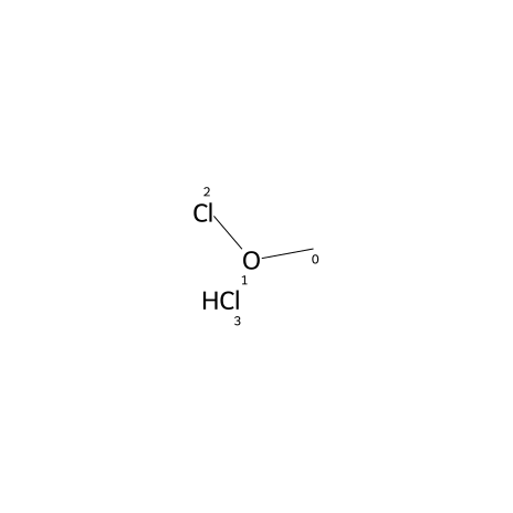 COCl.Cl